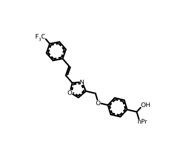 CCCC(O)c1ccc(OCc2coc(C=Cc3ccc(C(F)(F)F)cc3)n2)cc1